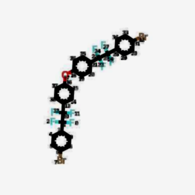 FC(F)(c1ccc(Br)cc1)C(F)(F)c1ccc(Oc2ccc(C(F)(F)C(F)(F)c3ccc(Br)cc3)cc2)cc1